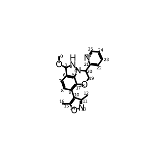 COC1NN2c3c1ccc(-c1c(C)noc1C)c3OCC2c1ccccn1